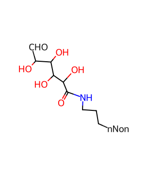 CCCCCCCCCCCCNC(=O)C(O)C(O)C(O)C(O)C=O